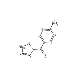 Nc1ccc(C(=O)C2C=NNC2)cc1